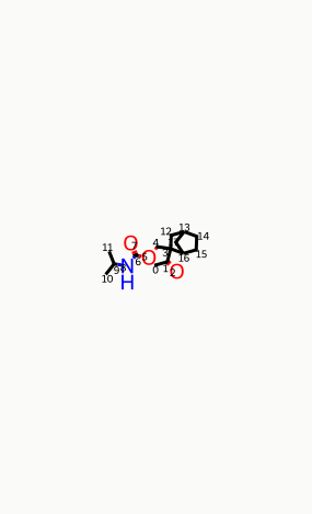 CC(=O)C1(COC(=O)NC(C)C)CC2CCC1C2